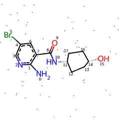 Nc1ncc(Br)cc1C(=O)N[C@H]1CC[C@@H](O)CC1